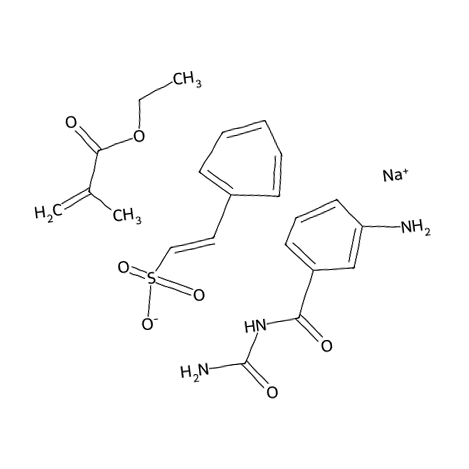 C=C(C)C(=O)OCC.NC(=O)NC(=O)c1cccc(N)c1.O=S(=O)([O-])C=Cc1ccccc1.[Na+]